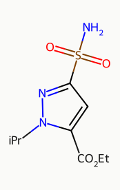 CCOC(=O)c1cc(S(N)(=O)=O)nn1C(C)C